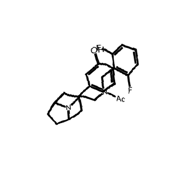 CC(=O)N(CCN1C2CCC1CC(c1cccc(O)c1)C2)Cc1c(F)cccc1F